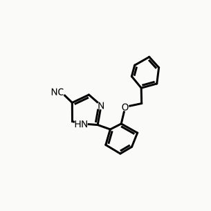 N#CC1=CN=C(c2ccccc2OCc2ccccc2)NC1